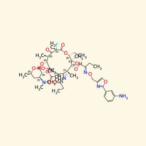 CCC(=O)/N=C1\[C@H](C)C[C@@](C)(O)[C@H](O[C@@H]2O[C@H](C)C[C@H](N(C)C)[C@H]2OC(C)=O)[C@@H](C)C(=O)[C@](C)(F)C(=O)O[C@H](CC)[C@@](C)(O)[C@H](OCC(CC)=NOCc2coc(-c3cccc(N)c3)n2)[C@H]1C